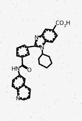 O=C(O)c1ccc2c(c1)nc(-c1cccc(C(=O)Nc3ccc4ncccc4c3)c1)n2C1CCCCC1